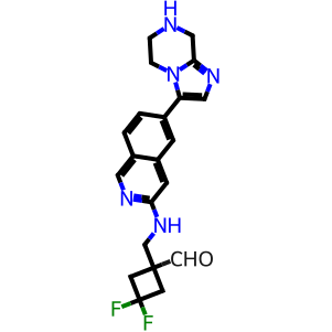 O=CC1(CNc2cc3cc(-c4cnc5n4CCNC5)ccc3cn2)CC(F)(F)C1